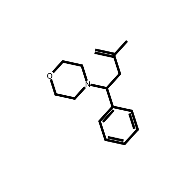 C=C(C)CC(c1ccccc1)N1CCOCC1